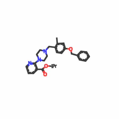 Cc1cc(OCc2ccccc2)ccc1CN1CCN(c2ncccc2C(=O)OC(C)C)CC1